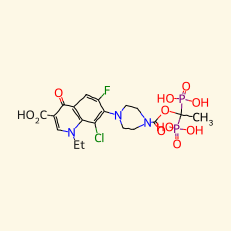 CCn1cc(C(=O)O)c(=O)c2cc(F)c(N3CCN(C(=O)OC(C)(P(=O)(O)O)P(=O)(O)O)CC3)c(Cl)c21